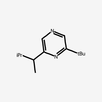 CC(C)C(C)c1cncc(C(C)(C)C)n1